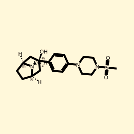 CS(=O)(=O)N1CCN(c2ccc([C@]3(O)C[C@H]4CC[C@@H](C3)N4C(=O)O)cc2)CC1